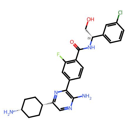 Nc1ncc([C@H]2CC[C@@H](N)CC2)nc1-c1ccc(C(=O)N[C@H](CO)c2cccc(Cl)c2)c(F)c1